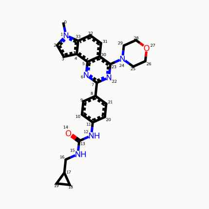 Cn1ccc2c3nc(-c4ccc(NC(=O)NCC5CC5)cc4)nc(N4CCOCC4)c3ccc21